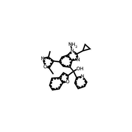 Cc1noc(C)c1-c1cc(C(O)(c2ccccn2)c2cc3ccccc3o2)c2nc(C3CC3)n(N)c2c1